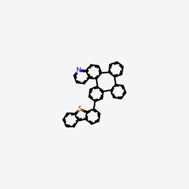 c1ccc2c(c1)-c1ccccc1-c1ccc3ncccc3c1-c1ccc(-c3cccc4c3sc3ccccc34)cc1-2